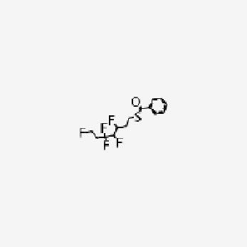 O=C(SCCC(F)C(F)C(F)(F)CCF)c1ccccc1